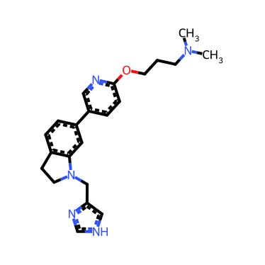 CN(C)CCCOc1ccc(-c2ccc3c(c2)N(Cc2c[nH]cn2)CC3)cn1